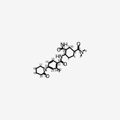 CN(C)C(=O)C1CCC(NC(=O)c2ccc(N3CCCCC3=O)cc2F)C(C(N)=O)C1